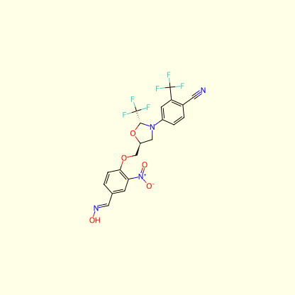 N#Cc1ccc(N2C[C@@H](COc3ccc(C=NO)cc3[N+](=O)[O-])O[C@@H]2C(F)(F)F)cc1C(F)(F)F